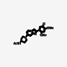 COc1cc(OC)c(-c2cn3ccc(N4CCC(NC(C)=O)CC4)cc3n2)cc1Cl